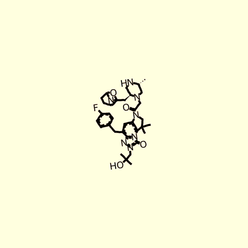 C[C@@H]1CN(CC(=O)N2CC(C)(C)c3c2cc(Cc2ccc(F)cc2)c2nn(CC(C)(C)O)c(=O)n32)[C@@H](CN2CC3CCC2CO3)CN1